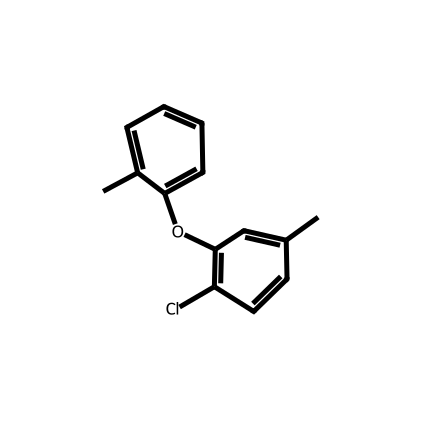 Cc1ccc(Cl)c(Oc2ccccc2C)c1